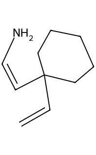 C=CC1(/C=C\N)CCCCC1